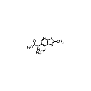 C=Cc1c(NC(=O)O)cnc2sc(C)nc12